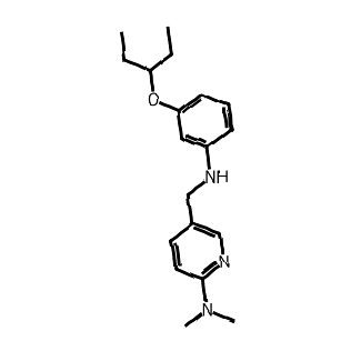 CCC(CC)Oc1cccc(NCc2ccc(N(C)C)nc2)c1